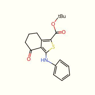 CC(C)(C)OC(=O)c1sc(Nc2ccccc2)c2c1CCCC2=O